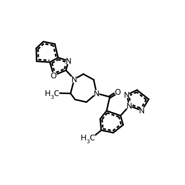 Cc1ccc(-n2nccn2)c(C(=O)N2CCC(C)N(c3nc4ccccc4o3)CC2)c1